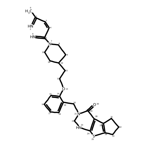 CC(=N)/C=C\C(=N)N1CCC(CCOc2ccccc2CN2CNc3sc4c(c3C2=O)CCC4)CC1